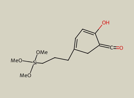 CO[Si](CCCC1=CC=C(O)C(=C=O)C1)(OC)OC